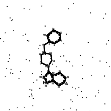 c1ccc(CN2CCN(c3n[nH]c4ccccc34)CC2)cc1